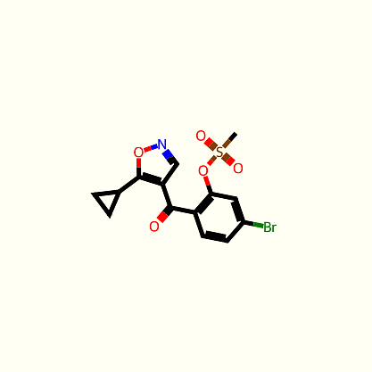 CS(=O)(=O)Oc1cc(Br)ccc1C(=O)c1cnoc1C1CC1